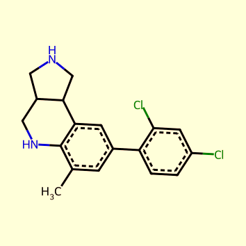 Cc1cc(-c2ccc(Cl)cc2Cl)cc2c1NCC1CNCC21